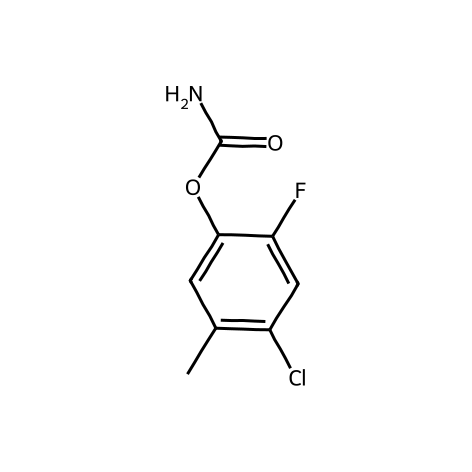 Cc1cc(OC(N)=O)c(F)cc1Cl